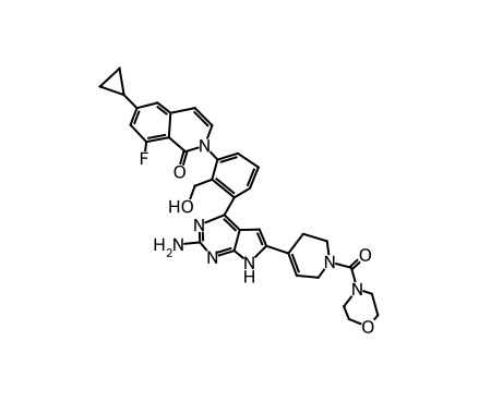 Nc1nc(-c2cccc(-n3ccc4cc(C5CC5)cc(F)c4c3=O)c2CO)c2cc(C3=CCN(C(=O)N4CCOCC4)CC3)[nH]c2n1